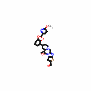 COc1ccc(C2Oc3cccc(C4CCN(Cc5nc6sc(C=O)cc6n5C5CCO5)CC4)c3O2)nn1